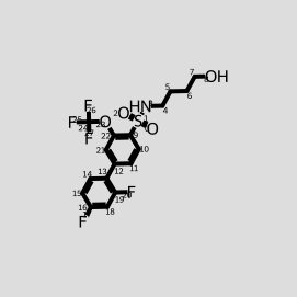 O=S(=O)(NCCCCO)c1ccc(-c2ccc(F)cc2F)cc1OC(F)(F)F